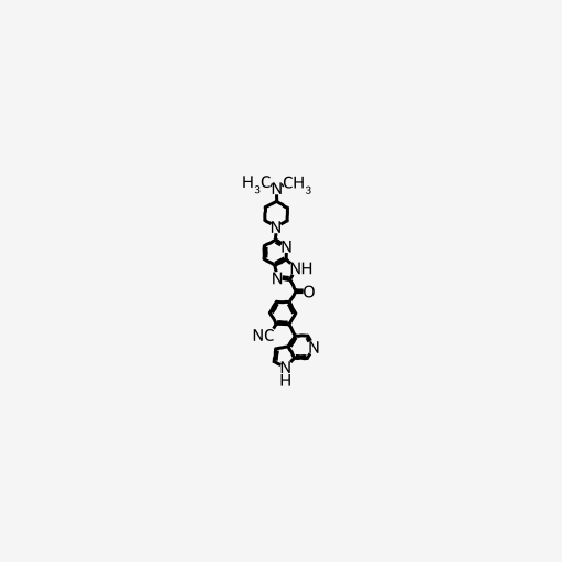 CN(C)C1CCN(c2ccc3nc(C(=O)c4ccc(C#N)c(-c5cncc6[nH]ccc56)c4)[nH]c3n2)CC1